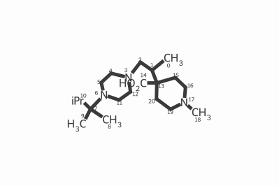 CC(CN1CCN(C(C)(C)C(C)C)CC1)C1(C(=O)O)CCN(C)CC1